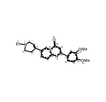 CCN1CC=C(c2ccc3nc(-c4ccc(OC)c(OC)c4)cc(=O)n3c2)CC1